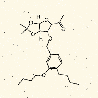 CCCCOc1cc(CO[C@@H]2[C@H]3OC(C)(C)O[C@H]3O[C@@H]2C(C)=O)ccc1CCCC